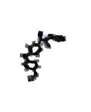 CCOc1ccc(Sc2ccc(C(=O)/C(C)=N/OC(C)=O)cc2)cc1